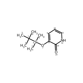 CC(C)(C)[Si](C)(C)Oc1ccc[nH]c1=O